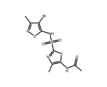 CC(=O)Nc1sc(S(=O)(=O)Nc2onc(C)c2Br)nc1C